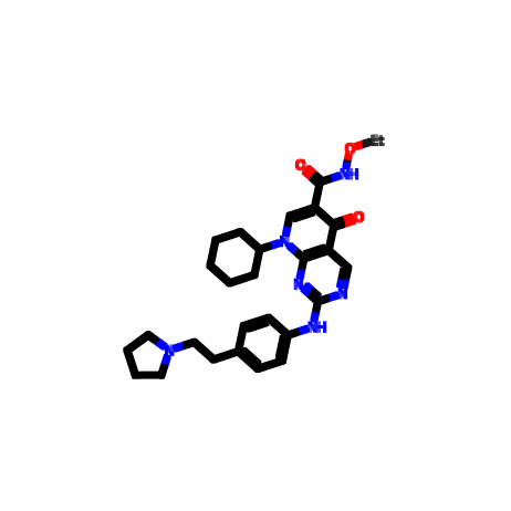 CCONC(=O)c1cn(C2CCCCC2)c2nc(Nc3ccc(CCN4CCCC4)cc3)ncc2c1=O